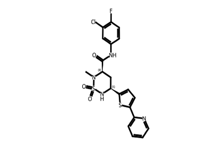 CN1[C@@H](C(=O)Nc2ccc(F)c(Cl)c2)C[C@@H](c2ccc(-c3ccccn3)s2)NS1(=O)=O